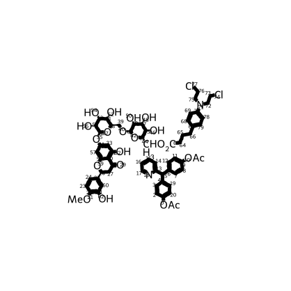 CC(=O)Oc1ccc(C(c2ccc(OC(C)=O)cc2)c2ccccn2)cc1.COc1ccc([C@@H]2CC(=O)c3c(O)cc(O[C@@H]4O[C@H](CO[C@@H]5O[C@@H](C)[C@H](O)[C@@H](O)[C@H]5O)[C@@H](O)[C@H](O)[C@H]4O)cc3O2)cc1O.O=C(O)CCCc1ccc(N(CCCl)CCCl)cc1